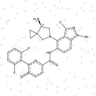 CC(C)n1nc(F)c2c(N3C[C@H](N)C4(CC4)C3)c(NC(=O)c3ccc(=O)n(-c4c(F)cccc4F)n3)ccc21